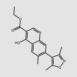 CCOC(=O)c1cnc2cc(-c3c(C)noc3C)c(C)cc2c1O